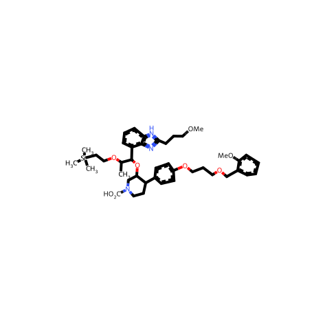 COCCCc1nc2c(C(OC3CN(C(=O)O)CCC3c3ccc(OCCCOCc4ccccc4OC)cc3)C(C)OCC[Si](C)(C)C)cccc2[nH]1